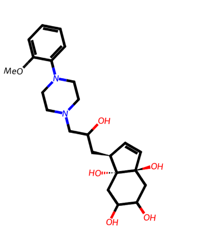 COc1ccccc1N1CCN(CC(O)C[C@H]2C=C[C@]3(O)CC(O)C(O)C[C@@]23O)CC1